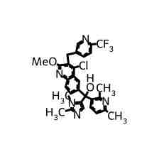 COc1nc2ccc(C(O)(c3ccc(C)nc3C)c3cnc(C)n3C)cc2c(Cl)c1Cc1ccc(C(F)(F)F)nc1